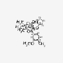 COc1cc([C@@H](O[Si](C)(C)C(C)(C)C)[C@H](CO)OC2CCCC2)ccc1C